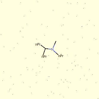 CCCC(CCC)N(C)CCC